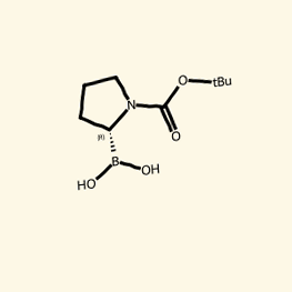 CC(C)(C)OC(=O)N1CCC[C@H]1B(O)O